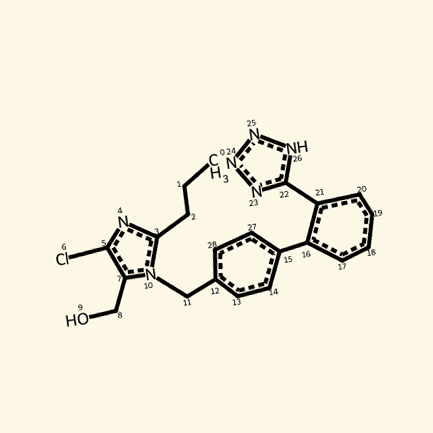 CCCc1nc(Cl)c(CO)n1Cc1ccc(-c2ccccc2-c2nnn[nH]2)cc1